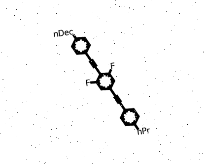 CCCCCCCCCCc1ccc(C#Cc2c(F)cc(C#Cc3ccc(CCC)cc3)cc2F)cc1